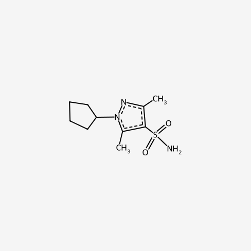 Cc1nn(C2CCCC2)c(C)c1S(N)(=O)=O